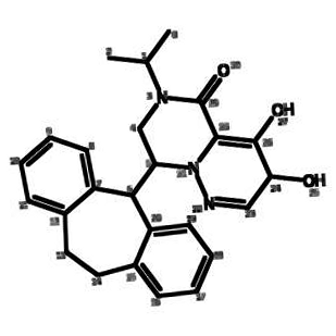 CC(C)N1CC(C2c3ccccc3CCc3ccccc32)N2N=CC(O)C(O)=C2C1=O